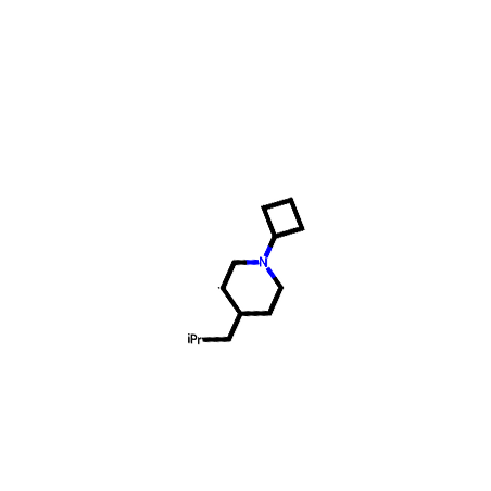 CC(C)CC1[CH]CN(C2CCC2)CC1